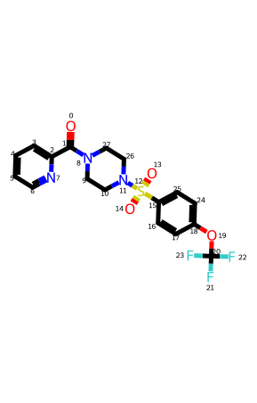 O=C(c1ccccn1)N1CCN(S(=O)(=O)c2ccc(OC(F)(F)F)cc2)CC1